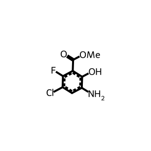 COC(=O)c1c(O)c(N)cc(Cl)c1F